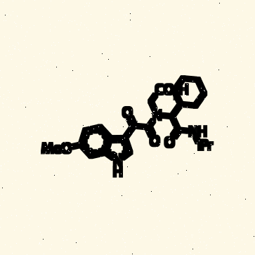 COc1ccc2c(C(=O)C(=O)N(CC(=O)O)C(C(=O)NC(C)C)C3CCCCC3)c[nH]c2c1